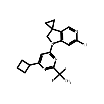 CC(F)(F)c1nc(C2CCC2)cc(N2CC3(CC3)c3cnc(Cl)cc32)n1